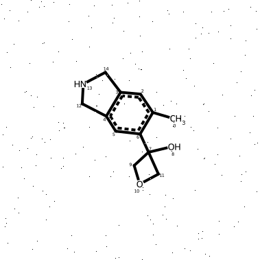 Cc1cc2c(cc1C1(O)COC1)CNC2